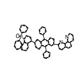 O=P(c1ccccc1)(c1ccccc1)c1ccc(-c2ccc3c(-c4ccccc4)c4cc(-c5ccc6ccc7cccnc7c6n5)ccc4c(-c4ccccc4)c3c2)c2ccccc12